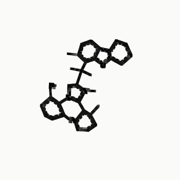 Cc1ccccc1-c1n(-c2c(C(C)C)cccc2C(C)C)cc(C(C)(C)c2c(C)ccc3c2oc2ccccc23)[n+]1C